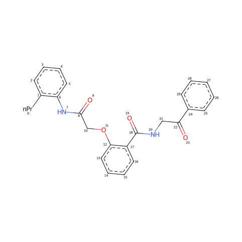 CCCc1ccccc1NC(=O)COc1ccccc1C(=O)NCC(=O)c1ccccc1